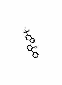 Oc1c(-c2ccccc2)cccc1-n1cnc2cc(C(F)(F)F)ccc21